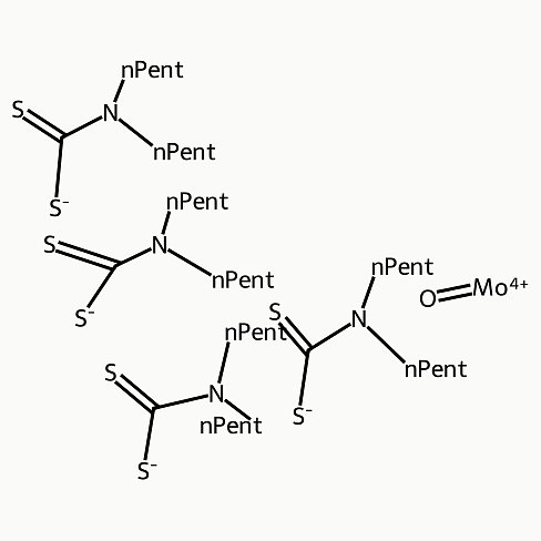 CCCCCN(CCCCC)C(=S)[S-].CCCCCN(CCCCC)C(=S)[S-].CCCCCN(CCCCC)C(=S)[S-].CCCCCN(CCCCC)C(=S)[S-].[O]=[Mo+4]